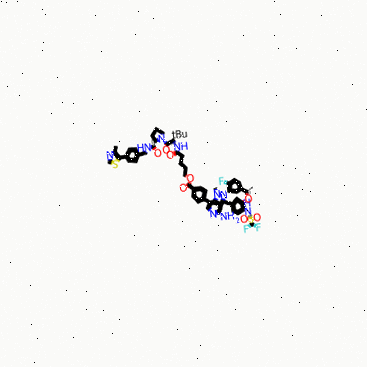 Cc1ncsc1-c1ccc(CNC(=O)[C@@H]2CCCN2C(=O)[C@@H](NC(=O)CCCCOC(=O)c2ccc(-c3cnc(N)c4c(-c5ccc(NS(=O)(=O)C(F)F)c(O[C@@H](C)c6ccc(F)cc6)c5)nn(C)c34)cc2)C(C)(C)C)cc1